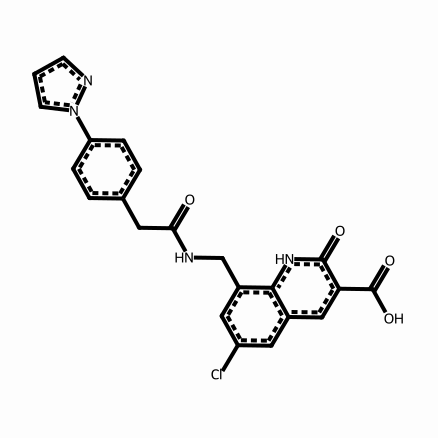 O=C(Cc1ccc(-n2cccn2)cc1)NCc1cc(Cl)cc2cc(C(=O)O)c(=O)[nH]c12